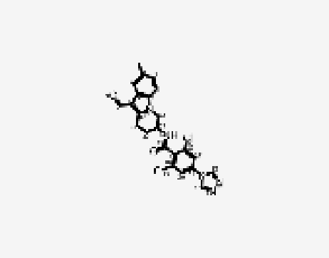 Cc1ccc2c(c1)c(C=O)c1n2CC(NC(=O)c2c(Cl)cc(-n3cnnc3)cc2Cl)CC1